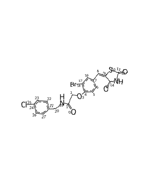 O=C(COc1ccc(C=C2SC(=O)NC2=O)cc1Br)NCc1ccc(Cl)cc1